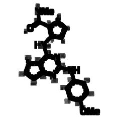 CNC(=O)c1sccc1Nc1nc(Nc2ccc(OC)cc2)nc2ccsc12